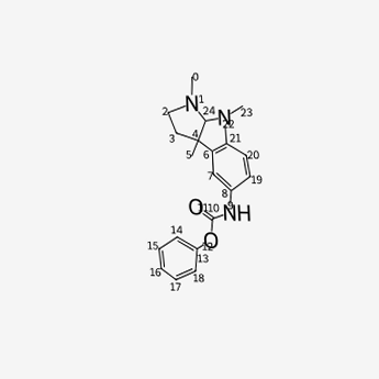 CN1CCC2(C)c3cc(NC(=O)Oc4ccccc4)ccc3N(C)C12